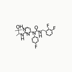 CC(Nc1nccc(N(C(=O)NCc2cccc(F)c2F)c2ccc(F)cc2)n1)C(C)(C)O